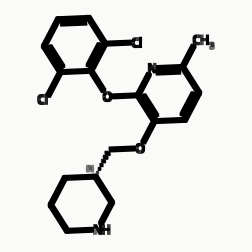 Cc1ccc(OC[C@H]2CCCNC2)c(Oc2c(Cl)cccc2Cl)n1